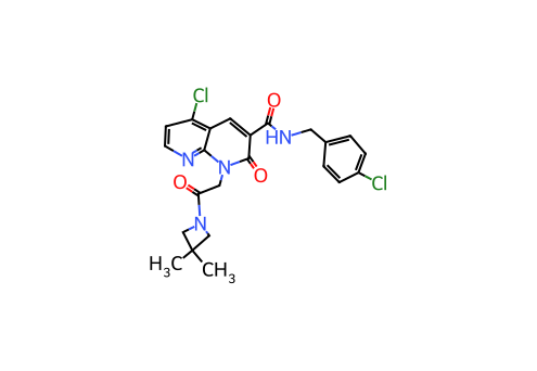 CC1(C)CN(C(=O)Cn2c(=O)c(C(=O)NCc3ccc(Cl)cc3)cc3c(Cl)ccnc32)C1